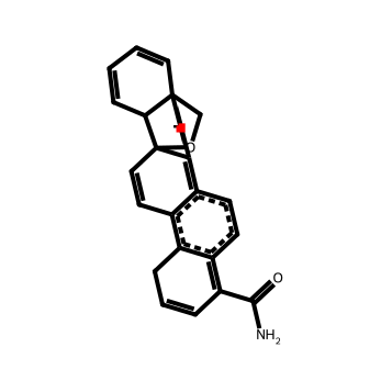 NC(=O)C1=c2ccc3c(c2CC=C1)C=CC12OCC4(C=CC=CC41)C=CC=32